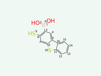 OB(O)c1cc2c(cc1S)sc1ccccc12